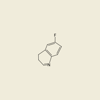 Fc1ccc2c(c1)CCC=N2